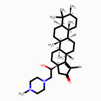 CC(C)C1=C2[C@H]3CC[C@@H]4[C@@]5(C)CC[C@H](C)C(C)(C)[C@@H]5CC[C@@]4(C)[C@]3(C)CC[C@@]2(C(O)CN2CCN(C)CC2)CC1=O